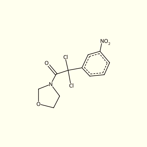 O=C(N1CCOC1)C(Cl)(Cl)c1cccc([N+](=O)[O-])c1